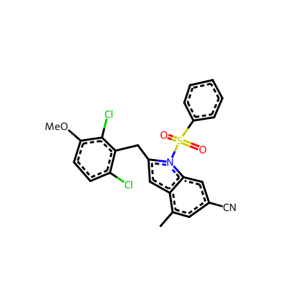 COc1ccc(Cl)c(Cc2cc3c(C)cc(C#N)cc3n2S(=O)(=O)c2ccccc2)c1Cl